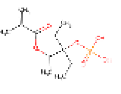 C=C(C)C(=O)OC(C)C(CC)(CC)OP(=O)(O)O